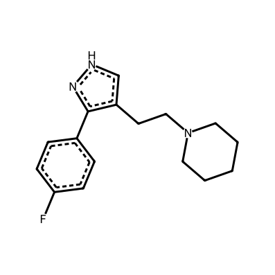 Fc1ccc(-c2n[nH]cc2CCN2CCCCC2)cc1